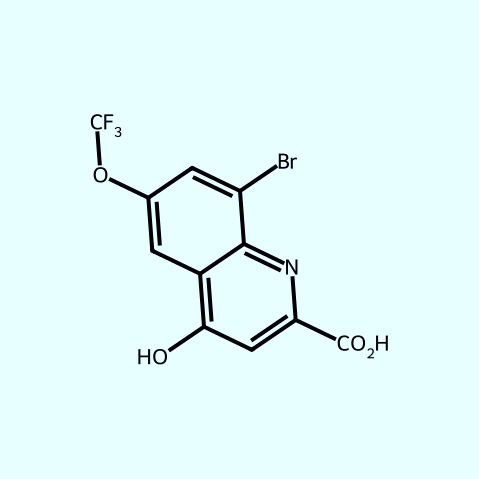 O=C(O)c1cc(O)c2cc(OC(F)(F)F)cc(Br)c2n1